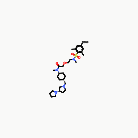 COc1cc(C)c(S(=O)(=O)N(C)CCOCC(=O)N(C)[C@H]2CC[C@@H](CN3CC[C@H](N4CCCC4)C3)CC2)c(C)c1